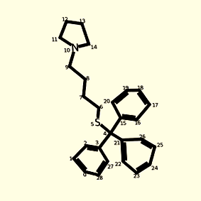 c1ccc(C(SCCCCN2CCCC2)(c2ccccc2)c2ccccc2)cc1